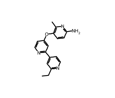 CCc1cc(-c2cc(Oc3ccc(N)nc3C)ccn2)ccn1